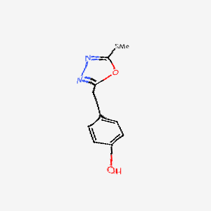 CSc1nnc(-c2ccc(O)cc2)o1